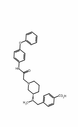 CN(Cc1ccc(C(=O)O)cc1)[C@@H]1CCCN(CC(=O)Nc2ccc(Oc3ccccc3)cc2)C1